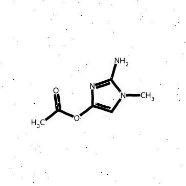 CC(=O)Oc1cn(C)c(N)n1